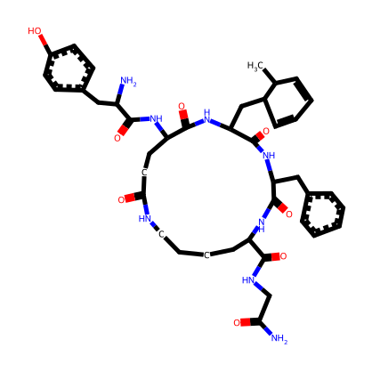 CC1C=CC=CC1CC1NC(=O)C(NC(=O)C(N)Cc2ccc(O)cc2)CCC(=O)NCCCCC(C(=O)NCC(N)=O)NC(=O)C(Cc2ccccc2)NC1=O